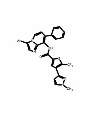 CC(=O)c1cnc2c(NC(=O)c3cc(-c4ccn(C)n4)c(C(F)(F)F)s3)c(-c3ccccc3)ccn12